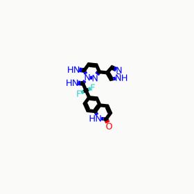 N=C(n1nc(-c2cn[nH]c2)ccc1=N)C(F)(F)c1ccc2[nH]c(=O)ccc2c1